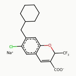 O=C([O-])C1=Cc2cc(Cl)c(CC3CCCCC3)cc2OC1C(F)(F)F.[Na+]